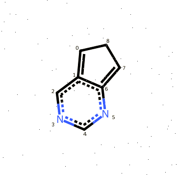 C1=c2cncnc2=CC1